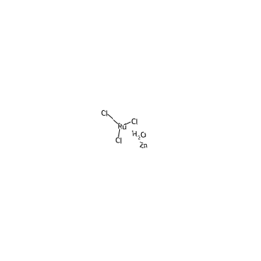 O.[Cl][Ru]([Cl])[Cl].[Zn]